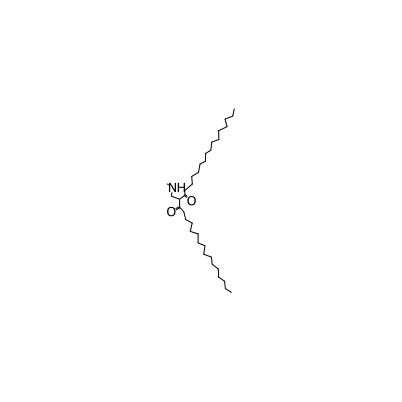 CCCCCCCCCCCCCCCC(=O)C(CNC)C(=O)CCCCCCCCCCCCCCC